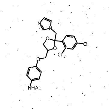 CC(=O)Nc1ccc(OCC2COC(Cn3ccnc3)(c3ccc(Cl)cc3Cl)O2)cc1